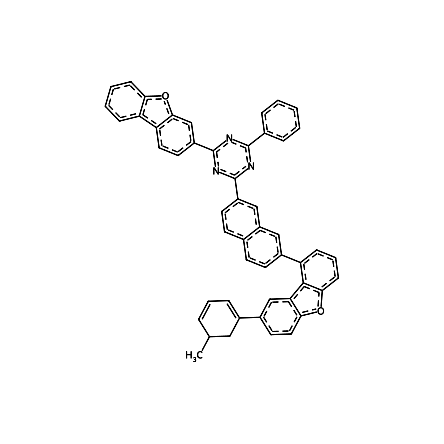 CC1C=CC=C(c2ccc3oc4cccc(-c5ccc6ccc(-c7nc(-c8ccccc8)nc(-c8ccc9c(c8)oc8ccccc89)n7)cc6c5)c4c3c2)C1